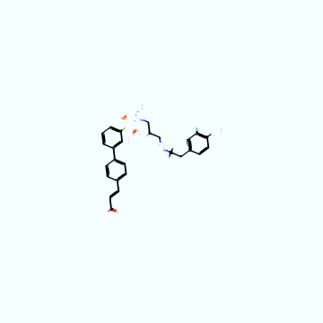 Cc1ccc(CC(C)(C)NC[C@@H](O)CN(C)S(=O)(=O)c2cccc(-c3ccc(C=CC(=O)O)cc3)c2)cc1F